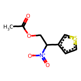 CC(=O)OCC(c1ccsc1)[N+](=O)[O-]